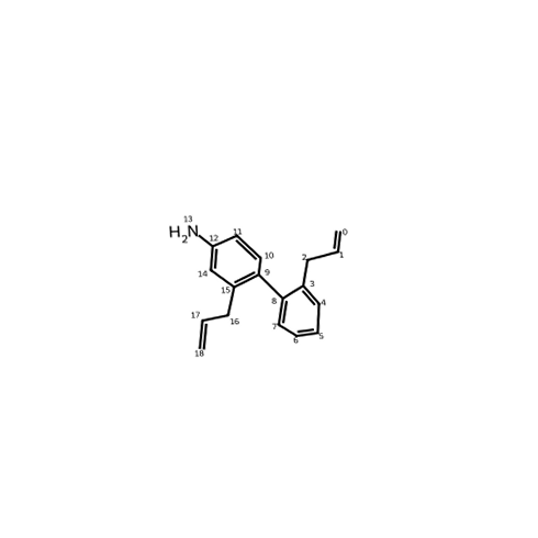 C=CCc1ccccc1-c1ccc(N)cc1CC=C